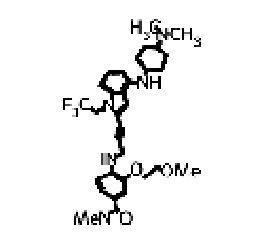 CNC(=O)c1ccc(NCC#Cc2cc3c(NC4CCC(N(C)C)CC4)cccc3n2CC(F)(F)F)c(OCCOC)c1